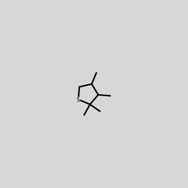 CC1CSC(C)(C)C1C